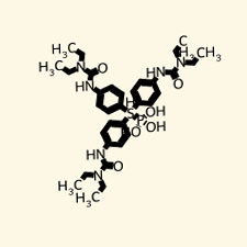 CCN(CC)C(=O)Nc1ccc([SH](c2ccc(NC(=O)N(CC)CC)cc2)(c2ccc(NC(=O)N(CC)CC)cc2)=P(O)(O)O)cc1